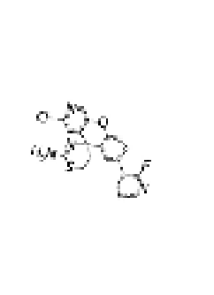 NC1=N[C@]2(CCS1)c1cc(-c3cccnc3F)ccc1Oc1cnc(Cl)cc12